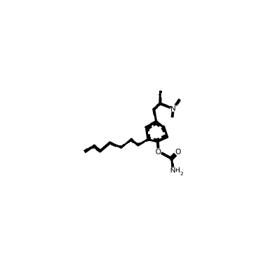 CCCCCCCc1cc(CC(C)N(C)C)ccc1OC(N)=O